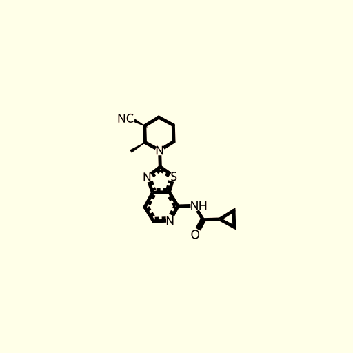 C[C@H]1[C@@H](C#N)CCCN1c1nc2ccnc(NC(=O)C3CC3)c2s1